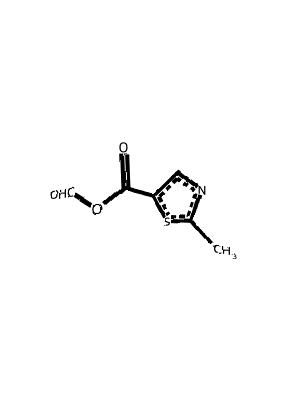 Cc1ncc(C(=O)OC=O)s1